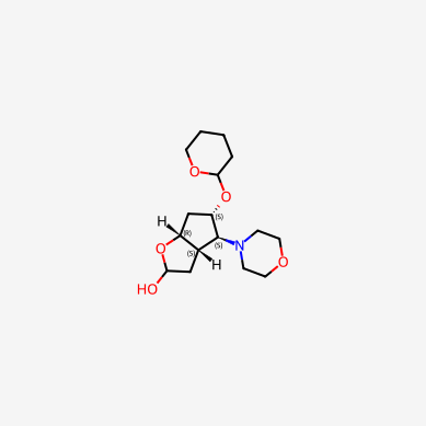 OC1C[C@H]2[C@H](N3CCOCC3)[C@@H](OC3CCCCO3)C[C@H]2O1